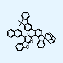 CC1(C)c2ccccc2-c2cc(-c3ccc4c(c3-c3nc(-c5ccc6ccccc6c5)c5c(n3)oc3ccccc35)-c3ccccc3C43C4CC5CC(C4)CC3C5)ccc21